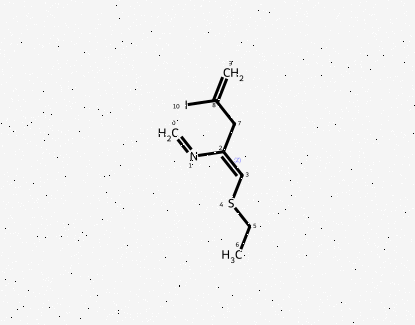 C=N/C(=C\SCC)CC(=C)I